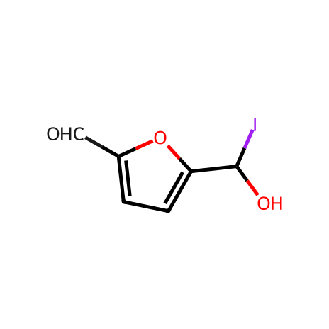 O=Cc1ccc(C(O)I)o1